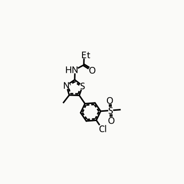 CCC(=O)Nc1nc(C)c(-c2ccc(Cl)c(S(C)(=O)=O)c2)s1